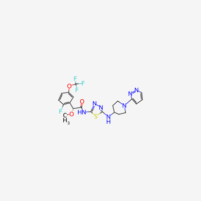 CO[C@@H](C(=O)Nc1nnc(NC2CCN(c3cccnn3)CC2)s1)c1cc(OC(F)(F)F)ccc1F